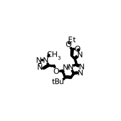 CCOc1cc(-c2nnc3cc(C(C)(C)C)c(OCc4cnnn4C)nn23)no1